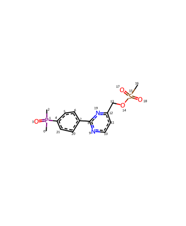 CP(C)(=O)c1ccc(-c2nccc(COS(C)(=O)=O)n2)cc1